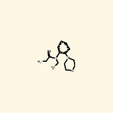 CCC(=N)N(CC)c1ccccc1N1CCOCC1